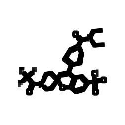 CCN(CC)C(=O)c1ccc(C2=CC3(CCN(C(=O)C(F)(F)F)CC3)Oc3ccc(S(=O)(=O)Cl)cc32)cc1